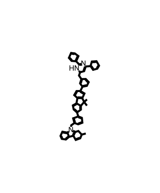 CC1C=Cc2c(n(Cc3cccc(-c4ccc5c(c4)C(C)(C)c4cc(-c6cccc(CC7C=C(c8ccccc8)N=C(c8ccccc8)N7)c6)ccc4-5)c3)c3ccccc23)C1